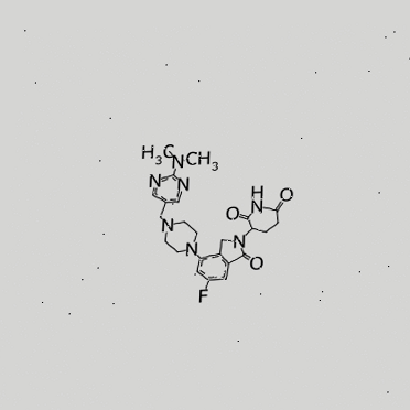 CN(C)c1ncc(CN2CCN(c3cc(F)cc4c3CN(C3CCC(=O)NC3=O)C4=O)CC2)cn1